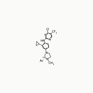 CC(=O)[C@@H]1CN(c2ccc(Nc3ncc(C(F)(F)F)c(Cl)n3)c(C3CC3)c2)CCN1C